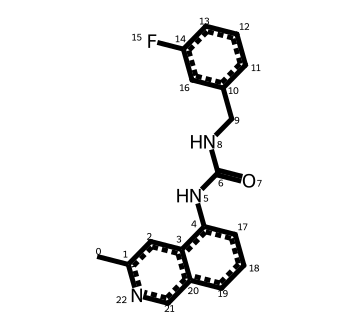 Cc1cc2c(NC(=O)NCc3cccc(F)c3)cccc2cn1